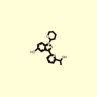 CC(O)c1cccc(-c2nn(C3CCCCO3)c3ccc(O)cc23)n1